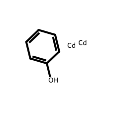 Oc1ccccc1.[Cd].[Cd]